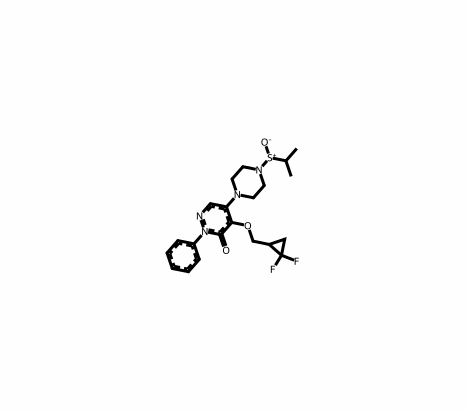 CC(C)[S+]([O-])N1CCN(c2cnn(-c3ccccc3)c(=O)c2OCC2CC2(F)F)CC1